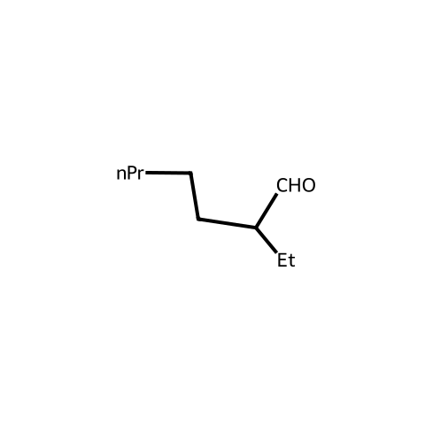 [CH2]CC(C=O)CCCCC